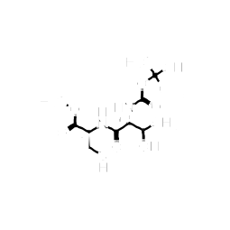 COC(=O)[C@H](CS)NC(=O)[C@H](NC(=O)OC(C)(C)C)C(C)O